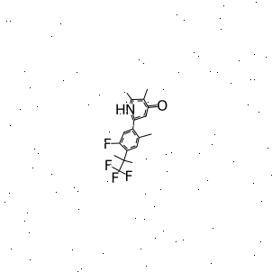 Cc1cc(C(C)(C)C(F)(F)F)c(F)cc1-c1cc(=O)c(C)c(C)[nH]1